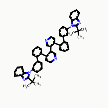 CC(C)(C)c1nc2ccccc2n1-c1cccc(-c2ccccc2-c2ccncc2-c2cnccc2-c2ccccc2-c2cccc(-n3c(C(C)(C)C)nc4ccccc43)c2)c1